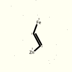 [Fe][CH]=[CH][Zn]